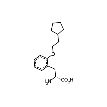 N[C@H](Cc1ccccc1OCCC1CCCC1)C(=O)O